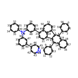 c1ccc(-c2c3c(c(-c4ccccc4)c4ccccc24)-c2ccc(-c4cccc(N(c5ccccc5)c5cccc(-c6ccncc6)c5)c4)c4cccc-3c24)cc1